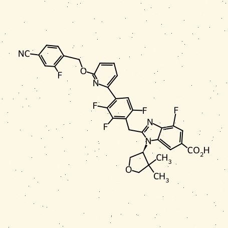 CC1(C)COC[C@H]1n1c(Cc2c(F)cc(-c3cccc(OCc4ccc(C#N)cc4F)n3)c(F)c2F)nc2c(F)cc(C(=O)O)cc21